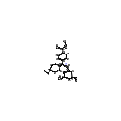 CCN1CCN(/C(=N\c2cc(Cl)cc(Cl)c2)c2ccc(C(=O)OC)cc2)CC1